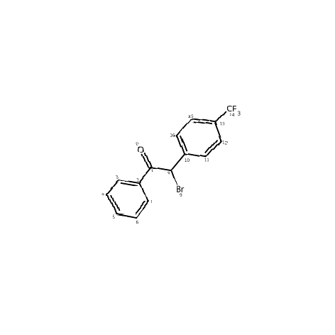 O=C(c1ccccc1)C(Br)c1ccc(C(F)(F)F)cc1